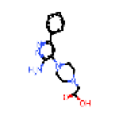 Nc1nnc(-c2ccccc2)cc1N1CCN(CC(=O)O)CC1